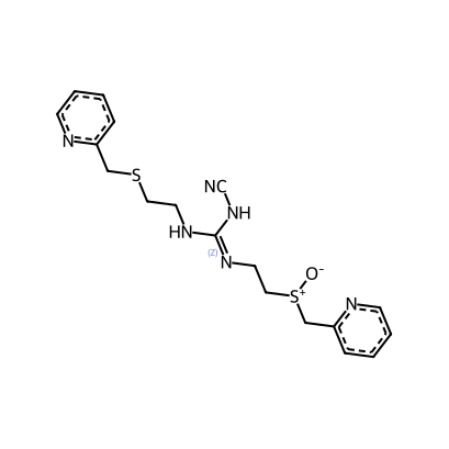 N#CN/C(=N\CC[S+]([O-])Cc1ccccn1)NCCSCc1ccccn1